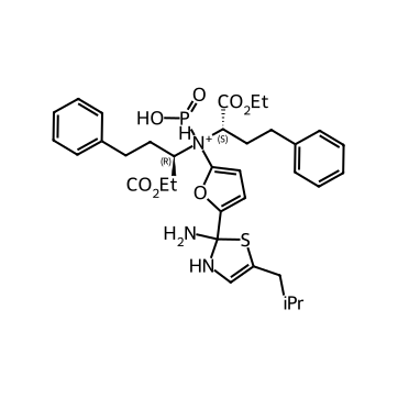 CCOC(=O)[C@@H](CCc1ccccc1)[N+](c1ccc(C2(N)NC=C(CC(C)C)S2)o1)([C@@H](CCc1ccccc1)C(=O)OCC)[PH](=O)O